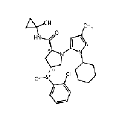 Cc1cc(N2C[C@H]([S+]([O-])c3ccccc3Cl)C[C@H]2C(=O)NC2(C#N)CC2)n(C2CCCCC2)n1